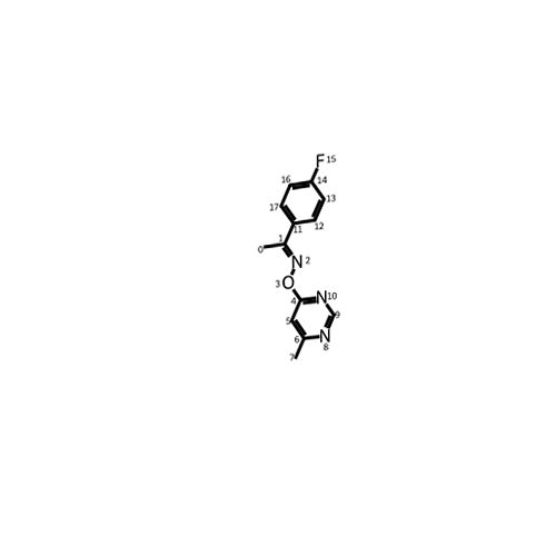 C/C(=N\Oc1cc(C)ncn1)c1ccc(F)cc1